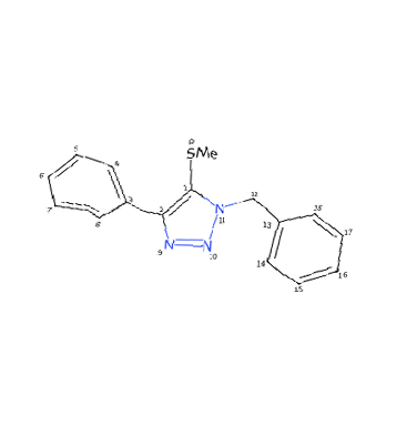 CSc1c(-c2ccccc2)nnn1Cc1ccccc1